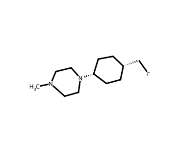 CN1CCN([C@H]2CC[C@@H](CF)CC2)CC1